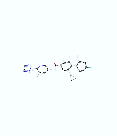 Nc1cc(F)ccc1-c1cc(F)c(C(=O)Nc2cnc(-n3nccn3)c(Cl)c2)cc1C1CC1